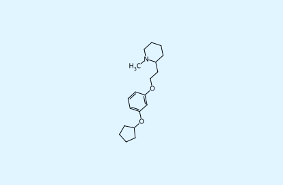 CN1CCCCC1CCOc1cccc(OC2CCCC2)c1